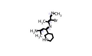 C\N=C/C(Br)=C(C)/N=C(\C=C(/C)N)C1CCCNC1